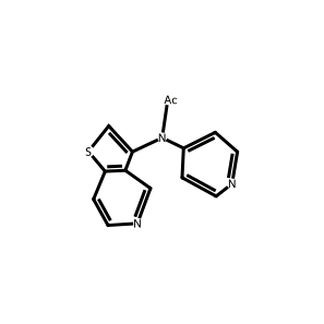 CC(=O)N(c1ccncc1)c1csc2ccncc12